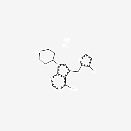 Cl.Cl.Nc1ncnc2c1c(Cc1sccc1F)cn2C1CCNCC1